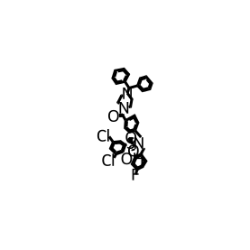 O=C(c1ccc(CN(Cc2ccc(F)cc2)S(=O)(=O)c2cc(Cl)cc(Cl)c2O)cc1)N1CCN(C(c2ccccc2)c2ccccc2)CC1